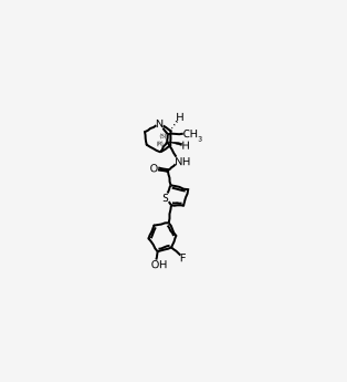 C[C@H]1[C@H](NC(=O)c2ccc(-c3ccc(O)c(F)c3)s2)C2CCN1CC2